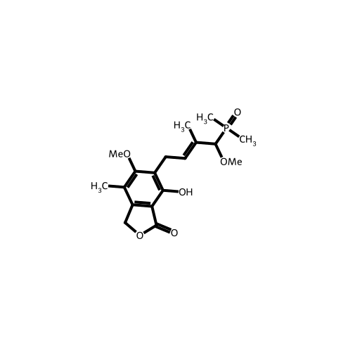 COc1c(C)c2c(c(O)c1C/C=C(\C)C(OC)P(C)(C)=O)C(=O)OC2